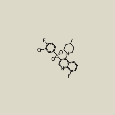 CC1CCN(c2c(S(=O)(=O)c3ccc(F)c(Cl)c3)cnc3c(F)cccc23)CC1